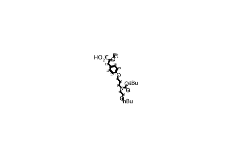 CCCCOCCN(CCCOc1ccc(CC(OCC)C(=O)O)cc1)C(=O)OC(C)(C)C